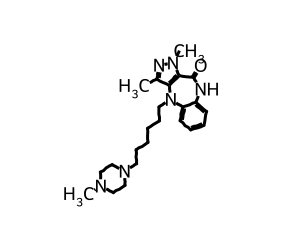 Cc1nn(C)c2c1N(CCCCCCN1CCN(C)CC1)c1ccccc1NC2=O